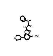 COc1ccc(C2CCOCC2)c2sc(NC(=O)N(C)C3CC4CCC3O4)nc12